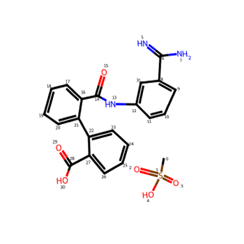 CS(=O)(=O)O.N=C(N)c1cccc(NC(=O)c2ccccc2-c2ccccc2C(=O)O)c1